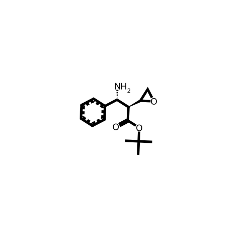 CC(C)(C)OC(=O)[C@H](C1CO1)[C@@H](N)c1ccccc1